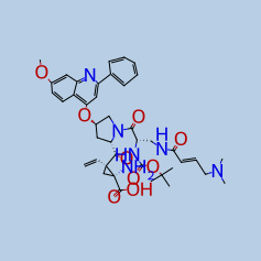 C=C[C@@]1(C(=O)[C@@H]2C[C@@H](Oc3cc(-c4ccccc4)nc4cc(OC)ccc34)CN2C(=O)[C@H](CNC(=O)C=CCN(C)C)NC(=O)OC(C)(C)C)C[C@]1(N)C(=O)O